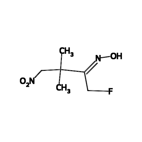 CC(C)(C[N+](=O)[O-])C(CF)=NO